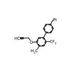 C#CCOc1cc(-c2ccc(C(C)C)cc2)c(C(F)(F)F)cc1[CH2]